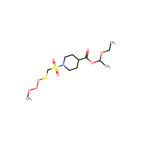 CCOC(C)OC(=O)C1CCN(S(=O)(=O)CSOOOC)CC1